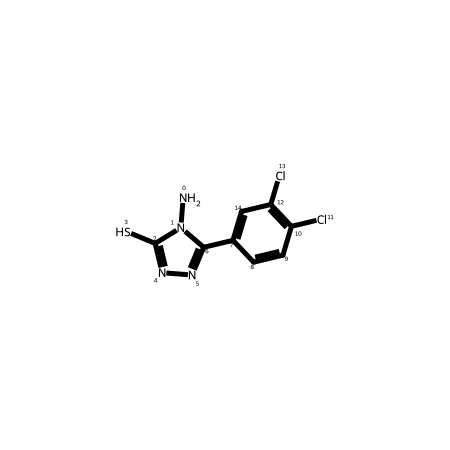 Nn1c(S)nnc1-c1ccc(Cl)c(Cl)c1